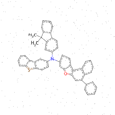 CC1(C)c2ccccc2-c2ccc(N(c3ccc4c(c3)oc3cc(-c5ccccc5)c5ccccc5c34)c3ccc4sc5ccccc5c4c3)cc21